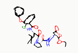 CCO[C@@H]1OC(=O)C[C@@H]1NC(=O)[C@@H]1CCCN1C(=O)[C@@H](NC(=O)c1cccc(Oc2ccccc2)c1Cl)C(C)(C)C